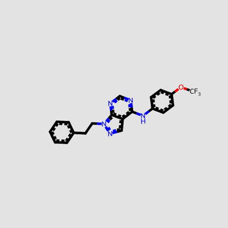 FC(F)(F)Oc1ccc(Nc2ncnc3c2cnn3CCc2ccccc2)cc1